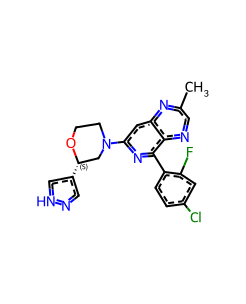 Cc1cnc2c(-c3ccc(Cl)cc3F)nc(N3CCO[C@@H](c4cn[nH]c4)C3)cc2n1